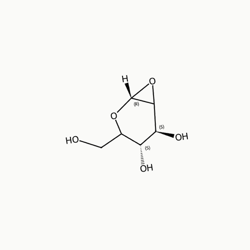 OCC1O[C@@H]2OC2[C@@H](O)[C@@H]1O